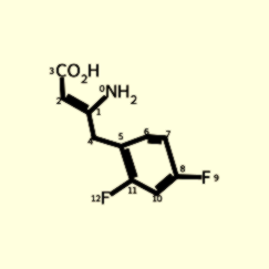 N/C(=C\C(=O)O)Cc1ccc(F)cc1F